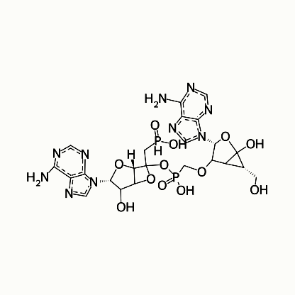 Nc1ncnc2c1ncn2[C@@H]1O[C@H]2C(OC2(C[PH](=O)O)OP(=O)(O)COC2C3[C@@H](CO)C3(O)O[C@H]2n2cnc3c(N)ncnc32)C1O